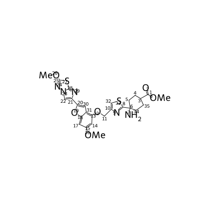 COC(=O)C1CCC(N)(c2nc(COc3cc(OC)cc4oc(-c5cn6nc(OC)sc6n5)cc34)cs2)CC1